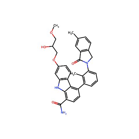 COCC(O)COc1ccc2c(c1)[nH]c1c(C(N)=O)ccc(-c3cccc(N4Cc5ccc(C)cc5C4=O)c3C)c12